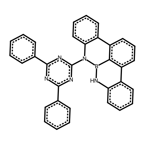 c1ccc(-c2nc(-c3ccccc3)nc(N3B4Nc5ccccc5-c5cccc(c54)-c4ccccc43)n2)cc1